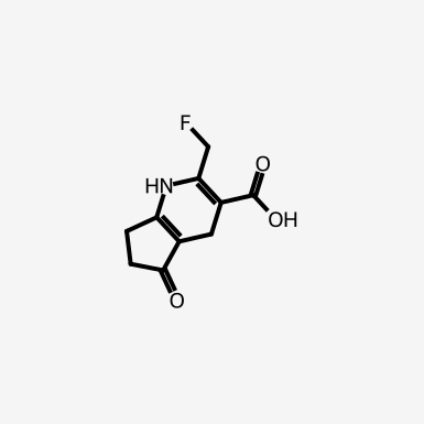 O=C(O)C1=C(CF)NC2=C(C1)C(=O)CC2